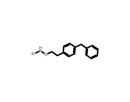 CCNOCCc1ccc(Cc2ccccc2)cc1